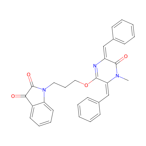 Cn1c(=Cc2ccccc2)c(OCCCN2C(=O)C(=O)c3ccccc32)nc(=Cc2ccccc2)c1=O